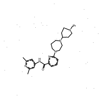 Cc1cc(NC(=O)c2cccc(N3CCCN(C4CCN(C(C)C)CC4)CC3)n2)cc(C)n1